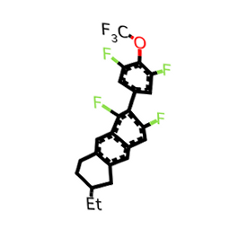 CCC1CCc2cc3c(F)c(-c4cc(F)c(OC(F)(F)F)c(F)c4)c(F)cc3cc2C1